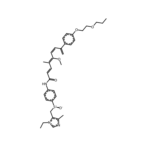 C=C(\C=C/C(OC)=C(C)/C=C/C(=O)Nc1ccc([S@@+]([O-])Cc2c(C)ncn2CC)cc1)c1ccc(OCCOCCC)cc1